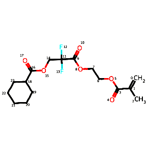 C=C(C)C(=O)OCCOC(=O)C(F)(F)COC(=O)C1CCCCC1